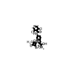 CC[C@@](Cc1ccc(NC(=O)c2c(Cl)cncc2Cl)cn1)(NC1=C(Br)C(=O)C1(C)C)C(=O)O